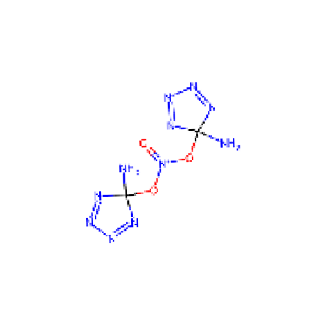 NC1(O[N+](=O)OC2(N)N=NN=N2)N=NN=N1